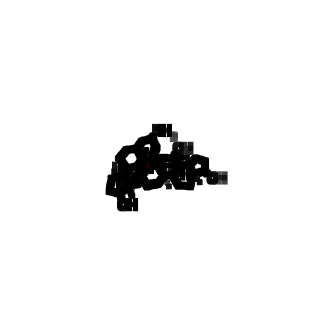 C[C@]12C(C34CC(N)C=C[C@]3(C)[C@@H]3CC[C@]5(C)C(O)CC[C@H]5[C@@H]3C(O)C4)=CC(N)CC1CC[C@@H]1[C@H]2CC[C@]2(C)C(O)CC[C@@H]12